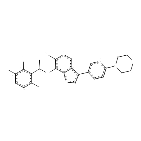 C[C@@H](Oc1c(N)ncc2c(-c3ccc(N4CCNCC4)nc3)coc12)c1c(F)ccc(F)c1Cl